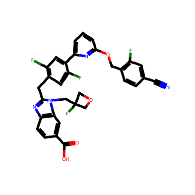 N#Cc1ccc(COc2cccc(-c3cc(F)c(Cc4nc5ccc(C(=O)O)cc5n4CC4(F)COC4)cc3F)n2)c(F)c1